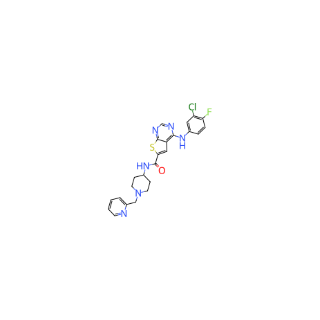 O=C(NC1CCN(Cc2ccccn2)CC1)c1cc2c(Nc3ccc(F)c(Cl)c3)ncnc2s1